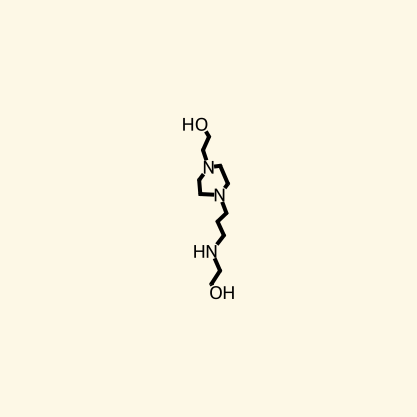 OCCNCCCN1CCN(CCO)CC1